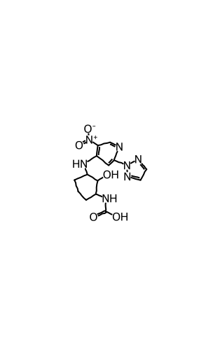 O=C(O)NC1CCCC(Nc2cc(-n3nccn3)ncc2[N+](=O)[O-])C1O